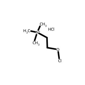 C[N+](C)(C)CCOCl.Cl